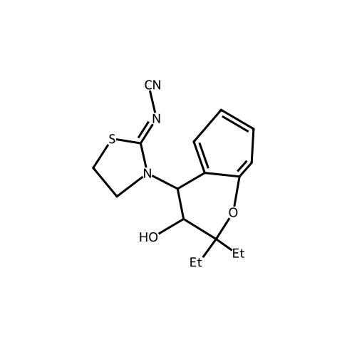 CCC1(CC)Oc2ccccc2C(N2CCSC2=NC#N)C1O